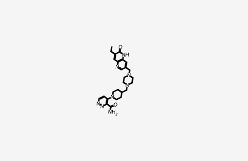 CCc1cc2ncc(CN3CCN(CC4CCN(c5ccnnc5C(N)=O)CC4)CC3)cc2[nH]c1=O